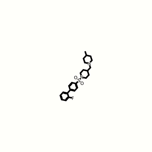 CC1CCN(CC2CCN(S(=O)(=O)c3ccc(-c4ccccc4F)cc3)CC2)CC1